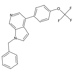 FC(F)(F)Oc1ccc(-c2cncc3c2ccn3Cc2ccccc2)cc1